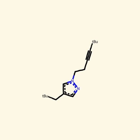 CC(C)(C)C#CCCn1cc(CC(C)(C)C)cn1